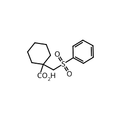 O=C(O)C1(CS(=O)(=O)c2ccccc2)CCCCC1